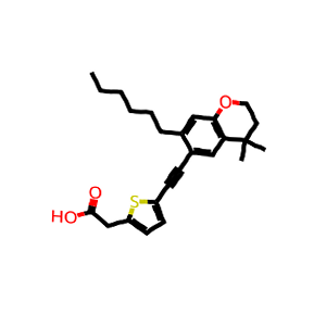 CCCCCCc1cc2c(cc1C#Cc1ccc(CC(=O)O)s1)C(C)(C)CCO2